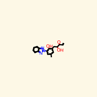 C=CC(=O)C(O)Cc1cc(C)cc(-n2nc3ccccc3n2)c1O